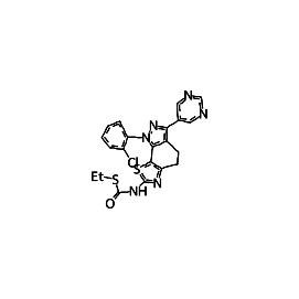 CCSC(=O)Nc1nc2c(s1)-c1c(c(-c3cncnc3)nn1-c1ccccc1Cl)CC2